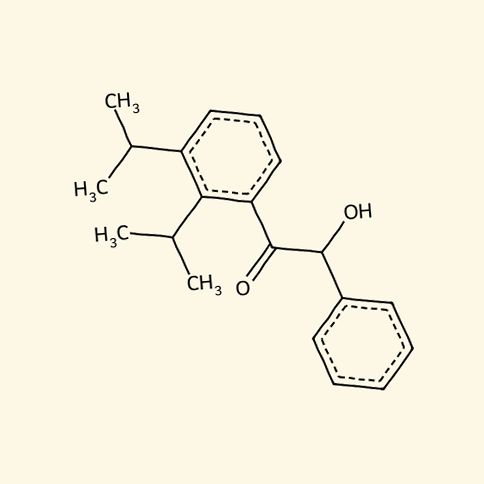 CC(C)c1cccc(C(=O)C(O)c2ccccc2)c1C(C)C